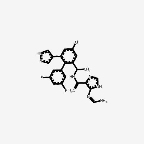 C=C(NC(C)c1cc(Cl)cc(-c2cn[nH]c2)c1-c1cc(F)cc(F)c1)c1nc[nH]c1/N=C\N